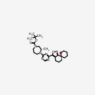 C[C@H]1CN(C(=O)OC(C)(C)C)CCCN1c1ncnc(-c2onc3c2CCC[C@@]32CCCCC23OCCO3)n1